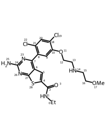 CCNC(=O)c1cc2c(-c3cc(OCCNCCOC)c(Cl)cc3Cl)nc(N)nc2s1